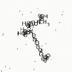 CCN(CCCS(=O)(=O)O)c1ccc2c(c1)OCC=C2/C=C/C=C1/N(CCOCCOCCOCCOCCOCCOCCC(=O)ON2C(=O)CCC2=O)c2ccc(S(=O)(=O)O)cc2C1(C)CCCS(=O)(=O)O